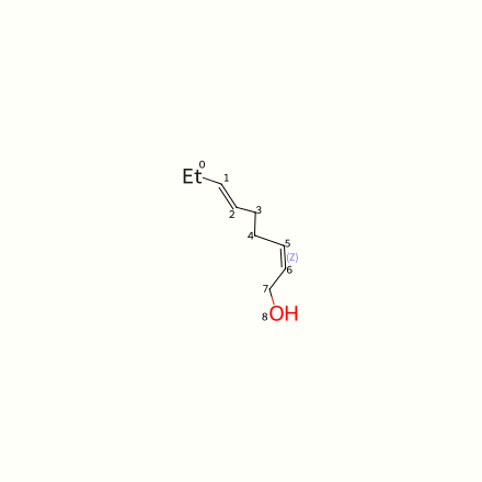 CCC=CCC/C=C\CO